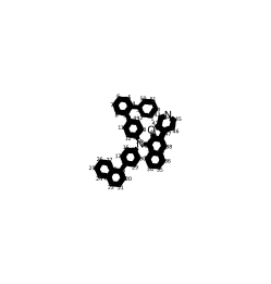 C1=CCC(c2ccccc2-c2ccc(N(c3ccc(-c4cccc5ccccc45)cc3)c3c4ccccc4cc4c3oc3cnccc34)cc2)C=C1